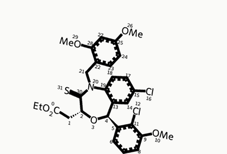 CCOC(=O)C[C@H]1O[C@H](c2cccc(OC)c2Cl)c2cc(Cl)ccc2N(Cc2ccc(OC)cc2OC)C1=S